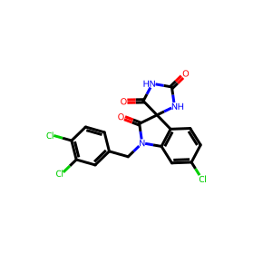 O=C1NC(=O)C2(N1)C(=O)N(Cc1ccc(Cl)c(Cl)c1)c1cc(Cl)ccc12